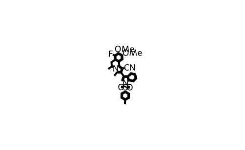 COc1cc2c(c(F)c1OC)CC(C)n1c(C)c(-c3cn(S(=O)(=O)c4ccc(C)cc4)c4ccccc34)c(C#N)c1-2